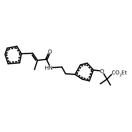 CCOC(=O)C(C)(C)Oc1ccc(CCNC(=O)/C(C)=C/c2ccccc2)cc1